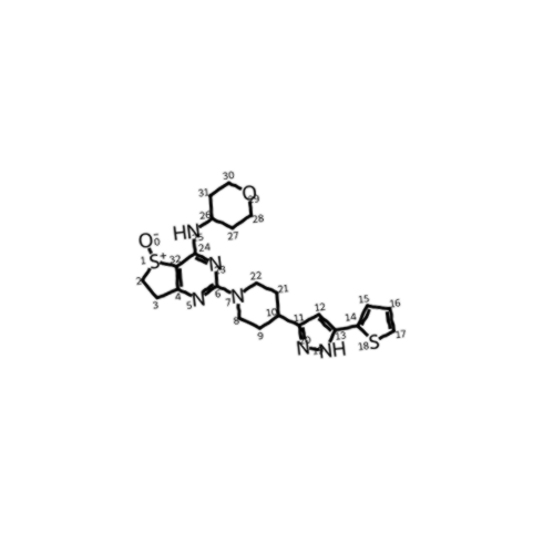 [O-][S+]1CCc2nc(N3CCC(c4cc(-c5cccs5)[nH]n4)CC3)nc(NC3CCOCC3)c21